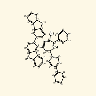 CC1=C=C(c2c(-c3ccc4sc5ccccc5c4c3)ccc3oc4ccccc4c23)N=C(c2ccc(-c3ccccc3)cc2)NC1c1ccccc1